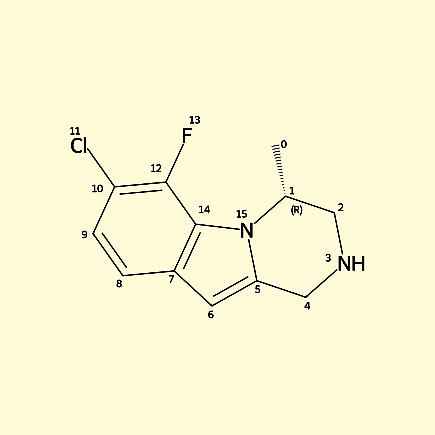 C[C@@H]1CNCc2cc3ccc(Cl)c(F)c3n21